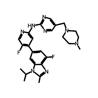 Cc1nc2c(F)cc(-c3cc(Nc4ncc(CN5CCN(C)CC5)cn4)ncc3F)cc2n1C(C)C